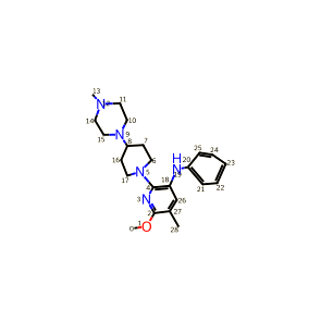 COc1nc(N2CCC(N3CCN(C)CC3)CC2)c(Nc2ccccc2)cc1C